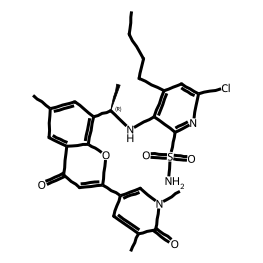 CCCCc1cc(Cl)nc(S(N)(=O)=O)c1N[C@H](C)c1cc(C)cc2c(=O)cc(-c3cc(C)c(=O)n(C)c3)oc12